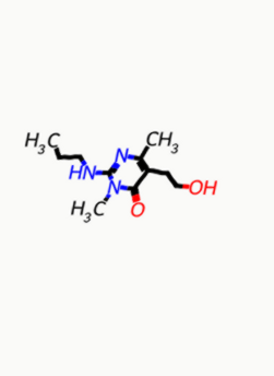 CCCNc1nc(C)c(CCO)c(=O)n1C